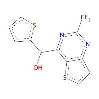 OC(c1cccs1)c1nc(C(F)(F)F)nc2ccsc12